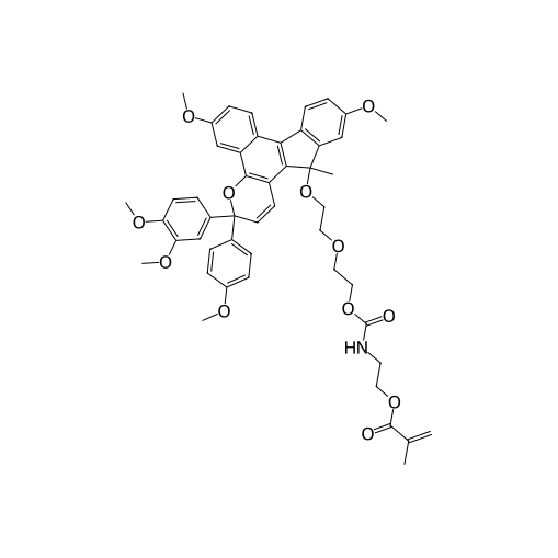 C=C(C)C(=O)OCCNC(=O)OCCOCCOC1(C)c2cc(OC)ccc2-c2c1c1c(c3cc(OC)ccc23)OC(c2ccc(OC)cc2)(c2ccc(OC)c(OC)c2)C=C1